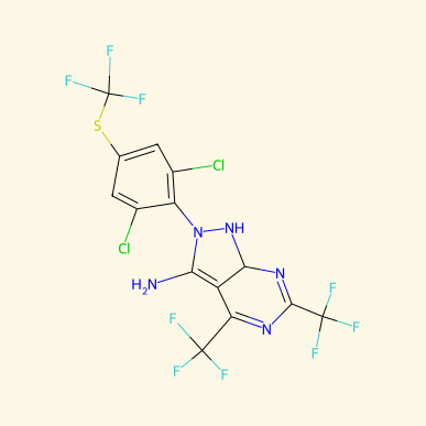 NC1=C2C(C(F)(F)F)=NC(C(F)(F)F)=NC2NN1c1c(Cl)cc(SC(F)(F)F)cc1Cl